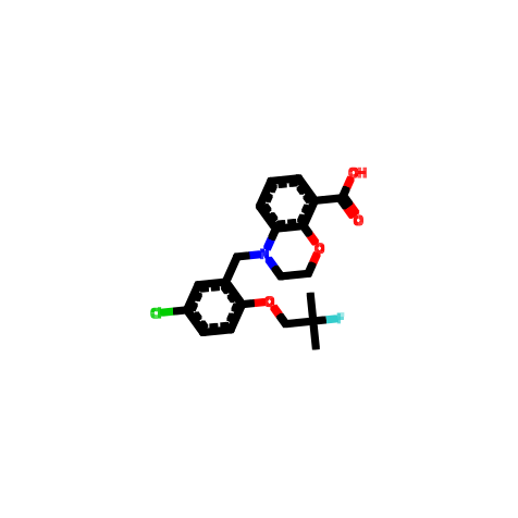 CC(C)(F)COc1ccc(Cl)cc1CN1CCOc2c(C(=O)O)cccc21